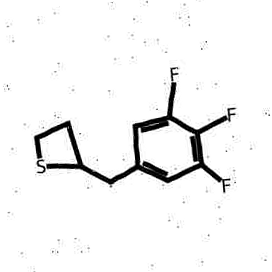 Fc1cc([CH]C2CCS2)cc(F)c1F